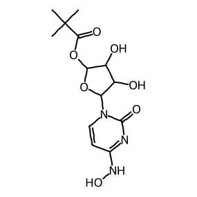 CC(C)(C)C(=O)OC1OC(n2ccc(NO)nc2=O)C(O)C1O